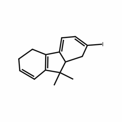 CC1(C)C2=C(CCC=C2)C2=CC=C(I)CC21